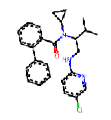 CC(C)[C@@H](CNc1ccc(Cl)cn1)N(C(=O)c1ccccc1-c1ccccc1)C1CC1